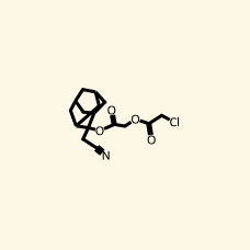 N#CCC1(OC(=O)COC(=O)CCl)C2CC3CC(C2)CC1C3